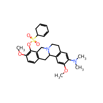 COc1cc2c(cc1N(C)C)CCN1Cc3c(ccc(OC)c3OS(=O)(=O)C3C=CC=CC3)CC21